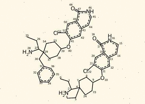 CCC(N)C1(CC)CCC(Oc2cc3cc[nH]c(=O)c3cc2Cl)CC1.CCC(N)C1(Cc2ccccc2)CCC(Oc2cc3cc[nH]c(=O)c3cc2Cl)CC1